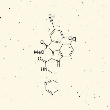 C#Cc1cc(C)cc(P(=O)(OC)c2c(C(=O)NCc3ccncn3)[nH]c3ccc(Cl)cc23)c1